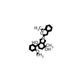 COc1ccccc1CC(=O)N1CC2C(C1)C(O)(c1ccccc1OC)CCC2(C)O